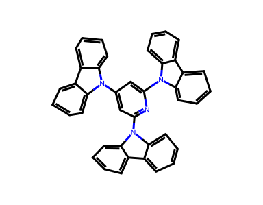 c1ccc2c(c1)c1ccccc1n2-c1cc(-n2c3ccccc3c3ccccc32)nc(-n2c3ccccc3c3ccccc32)c1